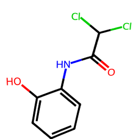 O=C(Nc1ccccc1O)C(Cl)Cl